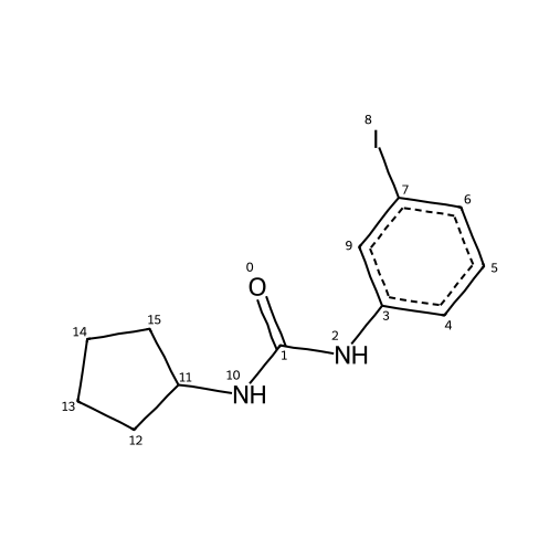 O=C(Nc1cccc(I)c1)NC1CCCC1